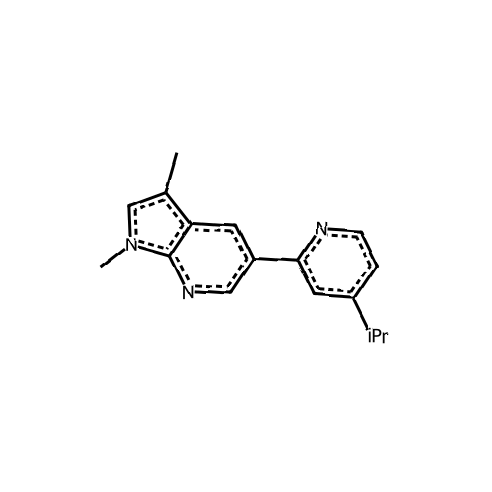 Cc1cn(C)c2ncc(-c3cc(C(C)C)ccn3)cc12